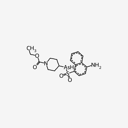 CCOC(=O)N1CCC([AsH]S(=O)(=O)c2ccc(N)c3ccccc23)CC1